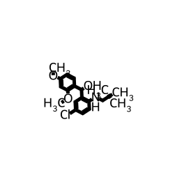 COc1ccc(C(O)c2cc(Cl)ccc2NCC(C)(C)C)c(OC)c1